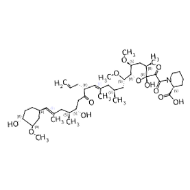 C=CC[C@H](/C=C(\C)C[C@H](C)C[C@H](OC)[C@H]1O[C@@](O)(C(=O)C(=O)N2CCCC[C@H]2C(=O)O)[C@H](C)C[C@@H]1OC)C(=O)C[C@H](O)[C@@H](C)C/C(C)=C/[C@@H]1CC[C@@H](O)[C@H](OC)C1